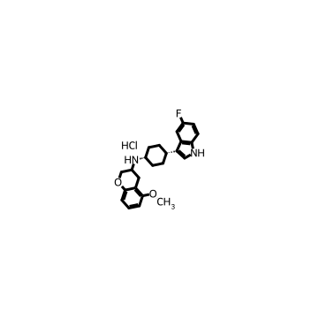 COc1cccc2c1CC(N[C@H]1CC[C@@H](c3c[nH]c4ccc(F)cc43)CC1)CO2.Cl